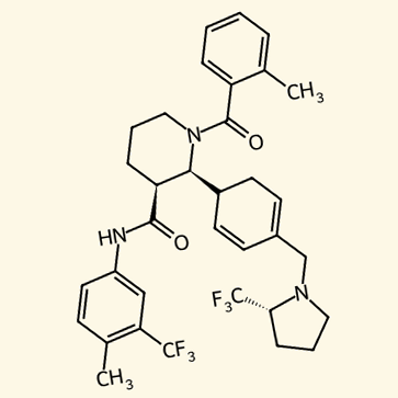 Cc1ccccc1C(=O)N1CCC[C@H](C(=O)Nc2ccc(C)c(C(F)(F)F)c2)[C@@H]1C1C=CC(CN2CCC[C@@H]2C(F)(F)F)=CC1